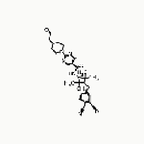 CC1(C)[C@H](NC(=O)c2cnc(N3CCC(CC=O)CC3)nc2)C(C)(C)[C@H]1Oc1ccc(C#N)c(C#N)c1